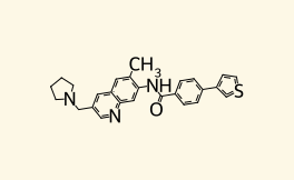 Cc1cc2cc(CN3CCCC3)cnc2cc1NC(=O)c1ccc(-c2ccsc2)cc1